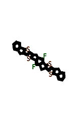 Fc1c2c(c(F)c3c1-c1sc4c5c(sc4c1C3)-c1ccccc1C5)-c1sc3c4c(sc3c1C2)-c1ccccc1C4